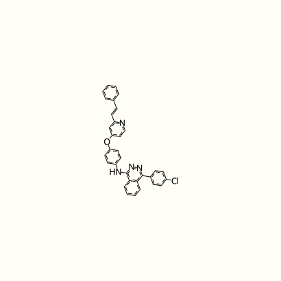 Clc1ccc(-c2nnc(Nc3ccc(Oc4ccnc(C=Cc5ccccc5)c4)cc3)c3ccccc23)cc1